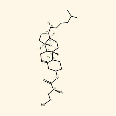 CC(C)CCC[C@@H](C)[C@H]1CC[C@H]2[C@@H]3CC=C4CC(OC(=O)[C@@H](N)CCS)CC[C@]4(C)[C@H]3CC[C@]12C